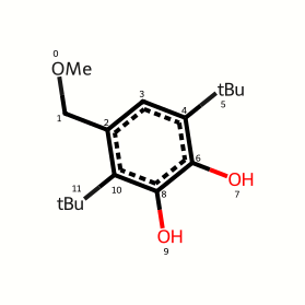 COCc1cc(C(C)(C)C)c(O)c(O)c1C(C)(C)C